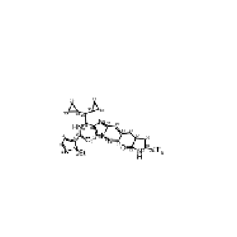 CCn1nccc1C(=O)N[C@H](c1cn2ncc(CC3C[C@@H](C(F)(F)F)NC3=O)cc2n1)C(C1CC1)C1CC1